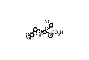 N#Cc1cccc(COc2cc(OCc3cccc(-c4ccc5c(c4)OCCO5)c3C#N)c(Br)cc2CN2CCCC[C@H]2C(=O)O)c1